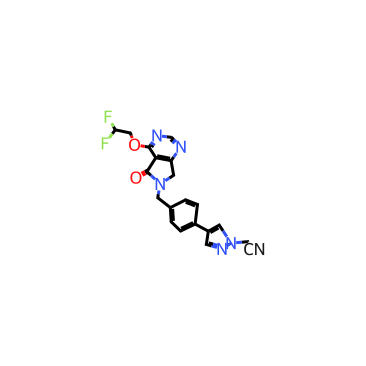 N#CCn1cc(-c2ccc(CN3Cc4ncnc(OCC(F)F)c4C3=O)cc2)cn1